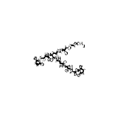 COCCOCC(=O)NCCCC[C@H](NC(=O)CCCN1C(=O)C=CC1=O)C(=O)NCCCC(=O)NCC(=O)NCC(=O)ON1C(=O)CCC1=O